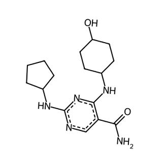 NC(=O)c1cnc(NC2CCCC2)nc1NC1CCC(O)CC1